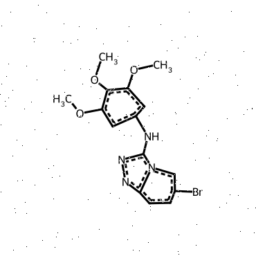 COc1cc(Nc2nnc3ccc(Br)cn23)cc(OC)c1OC